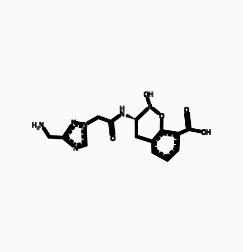 NCc1ncn(CC(=O)N[C@H]2Cc3cccc(C(=O)O)c3OB2O)n1